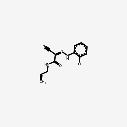 C=CCNC(=O)C(C#N)=NNc1ccccc1Cl